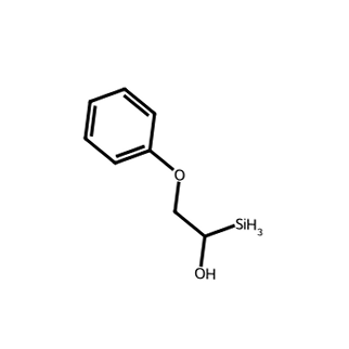 OC([SiH3])COc1ccccc1